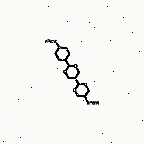 CCCCCC1CCC(C2OCC(C3OCC(CCCCC)CO3)CO2)CC1